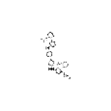 C=Cc1ccc(Nc2ccc(-c3ccc(Nc4cccc(-c5ccccc5C)c4)cc3)cc2)cc1-c1ccccc1C